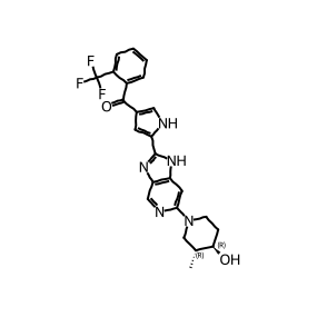 C[C@@H]1CN(c2cc3[nH]c(-c4cc(C(=O)c5ccccc5C(F)(F)F)c[nH]4)nc3cn2)CC[C@H]1O